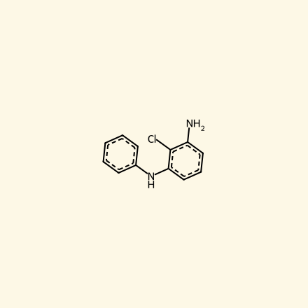 Nc1cccc(Nc2ccccc2)c1Cl